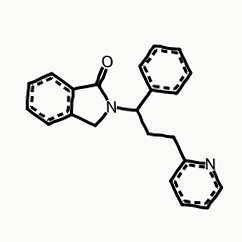 O=C1c2ccccc2CN1C(CCc1ccccn1)c1ccccc1